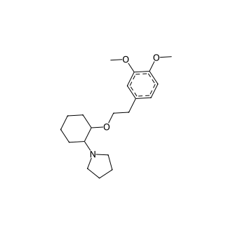 COc1ccc(CCOC2CCCCC2N2CCCC2)cc1OC